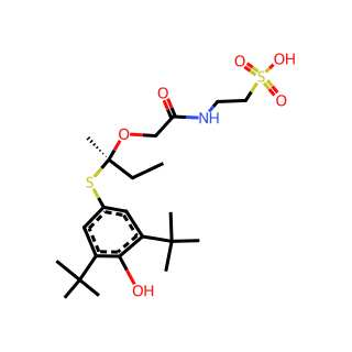 CC[C@](C)(OCC(=O)NCCS(=O)(=O)O)Sc1cc(C(C)(C)C)c(O)c(C(C)(C)C)c1